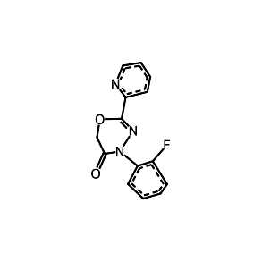 O=C1COC(c2ccccn2)=NN1c1ccccc1F